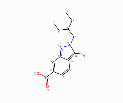 CCC(CC)Cn1nc2cc(C(=O)O)ccc2c1C